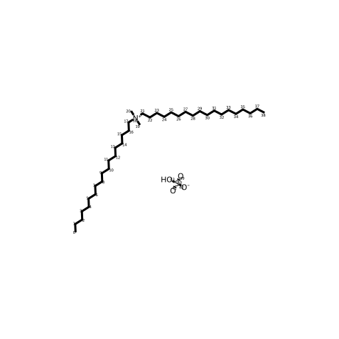 CCCCCCCCCCCCCCCCCC[N+](C)(C)CCCCCCCCCCCCCCCCCC.O=S(=O)([O-])O